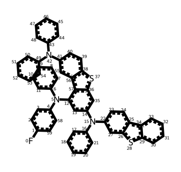 Fc1ccc(N(c2ccccc2)c2cc(N(c3ccccc3)c3ccc4c(c3)sc3ccccc34)cc3sc4ccc(N(c5ccccc5)c5ccccc5)cc4c23)cc1